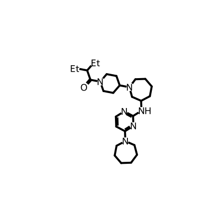 CCC(CC)C(=O)N1CCC(N2CCCCC(Nc3nccc(N4CCCCCC4)n3)C2)CC1